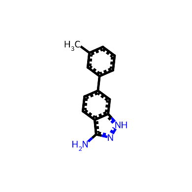 Cc1cccc(-c2ccc3c(N)n[nH]c3c2)c1